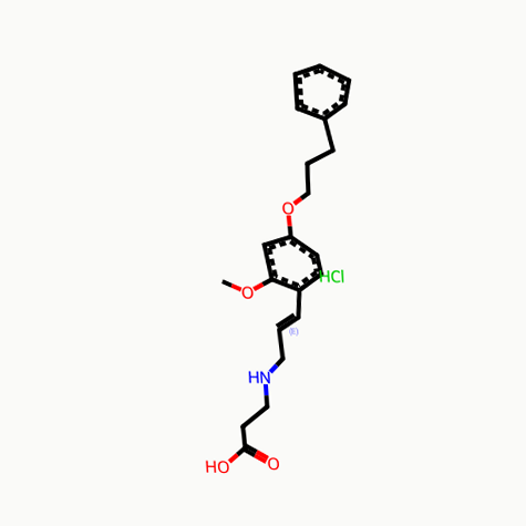 COc1cc(OCCCc2ccccc2)ccc1/C=C/CNCCC(=O)O.Cl